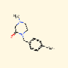 COc1ccc(CN2CCN(C)CC2=O)cc1